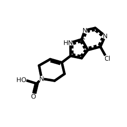 O=C(O)N1CC=C(c2cc3c(Cl)ncnc3[nH]2)CC1